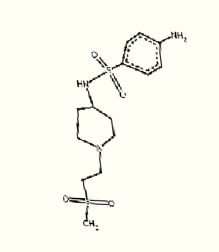 CS(=O)(=O)CCN1CCC(NS(=O)(=O)c2ccc(N)cc2)CC1